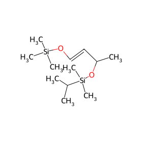 CC(C=CO[Si](C)(C)C)O[Si](C)(C)C(C)C